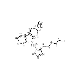 CCCCCCC1=[C]([Ti+2][CH]2c3ccccc3-c3ccccc32)CC=C1.[Cl-].[Cl-]